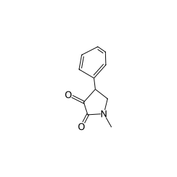 CN1CC(c2ccccc2)C(=O)C1=O